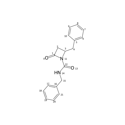 O=C1CC(Cc2ccccc2)N1C(=O)NCc1ccccc1